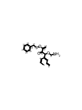 C=C/C=C(\C=C/C)C(OCN)C(=O)C(=C)OSCc1ccccc1